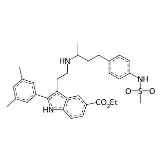 CCOC(=O)c1ccc2[nH]c(-c3cc(C)cc(C)c3)c(CCNC(C)CCc3ccc(NS(C)(=O)=O)cc3)c2c1